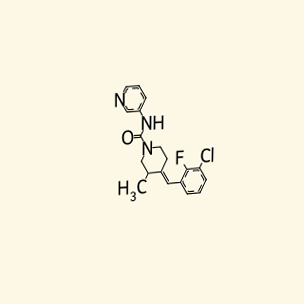 CC1CN(C(=O)Nc2cccnc2)CC/C1=C\c1cccc(Cl)c1F